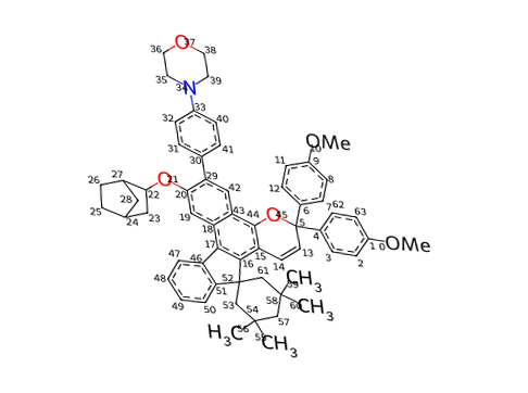 COc1ccc(C2(c3ccc(OC)cc3)C=Cc3c4c(c5cc(OC6CC7CCC6C7)c(-c6ccc(N7CCOCC7)cc6)cc5c3O2)-c2ccccc2C42CC(C)(C)CC(C)(C)C2)cc1